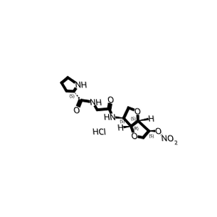 Cl.O=C(CNC(=O)[C@@H]1CCCN1)N[C@H]1CO[C@H]2[C@@H]1OC[C@@H]2O[N+](=O)[O-]